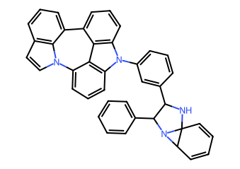 C1=CC2N3C(c4ccccc4)C(c4cccc(-n5c6cccc7c8cccc9ccn(c%10cccc5c%10c76)c98)c4)NC23C=C1